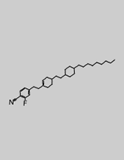 CCCCCCCCCC1CCC(CCC2CC=C(CCc3ccc(C#N)c(F)c3)CC2)CC1